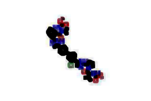 COC(=O)N[C@H](C(=O)N1CCC[C@H]1c1ncc(-c2ccc(-c3ccc(-c4cnc([C@H]5C6CCC(C6)[C@@H]5C(=O)N(NC(=O)OC)C(C)C)[nH]4)cc3)cc2Cl)[nH]1)C(C)C